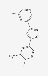 Cc1cc(-c2cc(-c3cncc(F)c3)no2)ccc1F